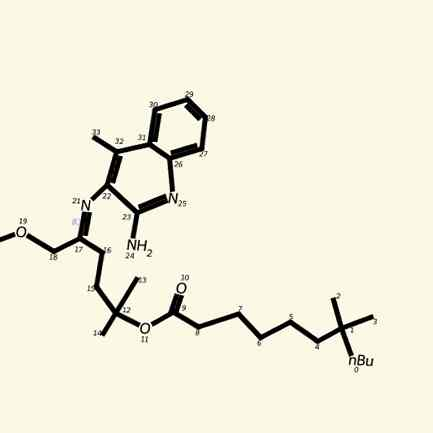 CCCCC(C)(C)CCCCCC(=O)OC(C)(C)CC/C(COCC)=N\c1c(N)nc2ccccc2c1C